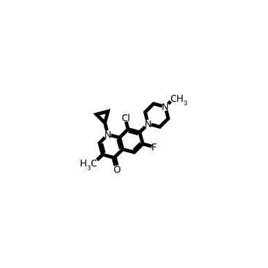 Cc1cn(C2CC2)c2c(Cl)c(N3CCN(C)CC3)c(F)cc2c1=O